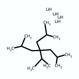 C[C](C)C(CC(C)C)(CC(C)C)CC(C)C.[LiH].[LiH].[LiH].[LiH]